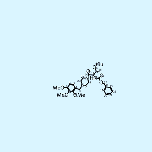 COc1ccc(CN2CCN(C(=O)[C@@H](NC(=O)OCc3ccccc3)[C@@H](C)OC(C)(C)C)CC2)c(OC)c1OC